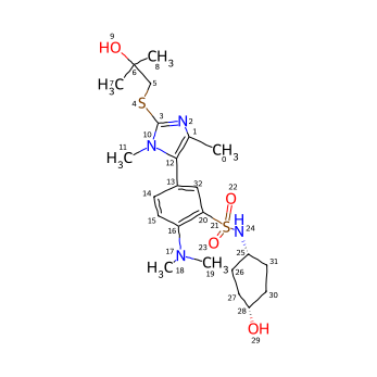 Cc1nc(SCC(C)(C)O)n(C)c1-c1ccc(N(C)C)c(S(=O)(=O)N[C@H]2CC[C@@H](O)CC2)c1